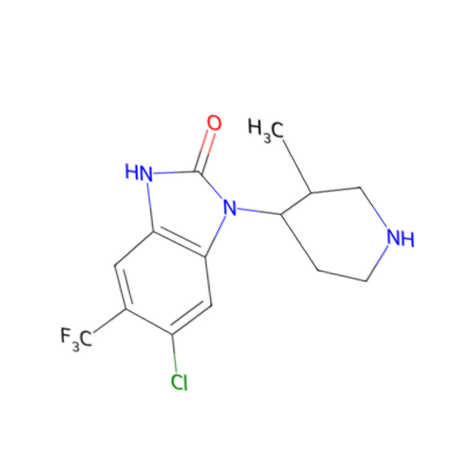 CC1CNCCC1n1c(=O)[nH]c2cc(C(F)(F)F)c(Cl)cc21